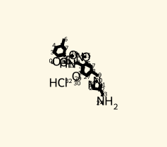 COc1ccc(C)cc1S(=O)(=O)Nc1noc2cc(Cn3cc(CN)cn3)cc(OC)c12.Cl